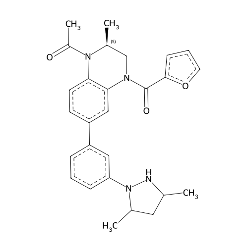 CC(=O)N1c2ccc(-c3cccc(N4NC(C)CC4C)c3)cc2N(C(=O)c2ccco2)C[C@@H]1C